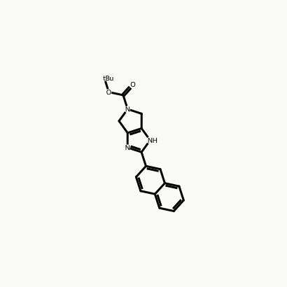 CC(C)(C)OC(=O)N1Cc2nc(-c3ccc4ccccc4c3)[nH]c2C1